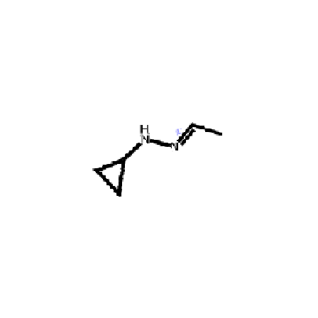 C/C=N/NC1CC1